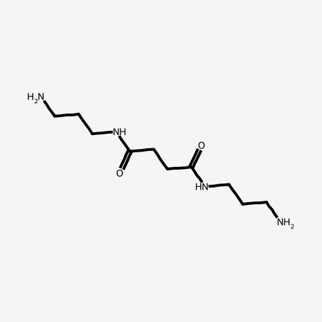 NCCCNC(=O)CCC(=O)NCCCN